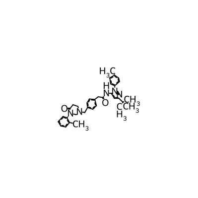 Cc1ccc(-n2nc(C(C)(C)C)cc2NC(=O)Cc2ccc(CN3CCC(=O)N(c4ccccc4C)C3)cc2)cc1